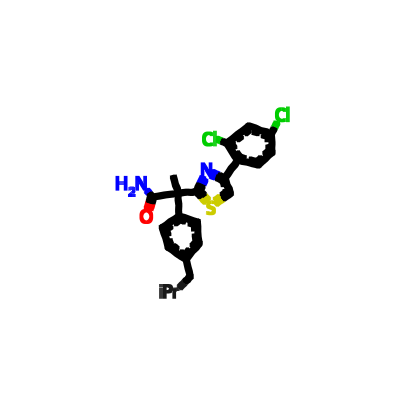 CC(C)Cc1ccc(C(C)(C(N)=O)c2nc(-c3ccc(Cl)cc3Cl)cs2)cc1